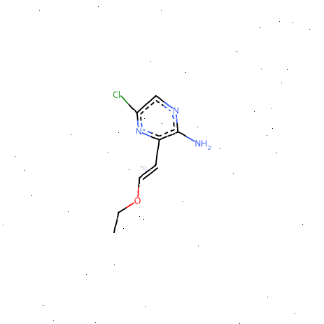 CCO/C=C/c1nc(Cl)cnc1N